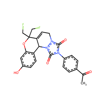 CC(=O)c1ccc(-n2c(=O)n3n(c2=O)C2C(=CC3)C(CF)(CF)Oc3cc(O)ccc32)cc1